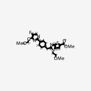 COCCn1c(CC2CC=C(c3ncc(F)c(OCOC)n3)CC2)nc2sc(C(=O)OC)cc21